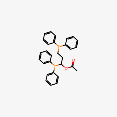 CC(=O)OC(CCP(c1ccccc1)c1ccccc1)P(c1ccccc1)c1ccccc1